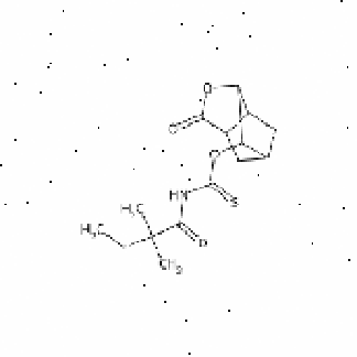 CCC(C)(C)C(=O)NC(=S)OC1C2CC3C(=O)OC1C3C2